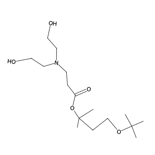 CC(C)(C)OCCC(C)(C)OC(=O)CCN(CCO)CCO